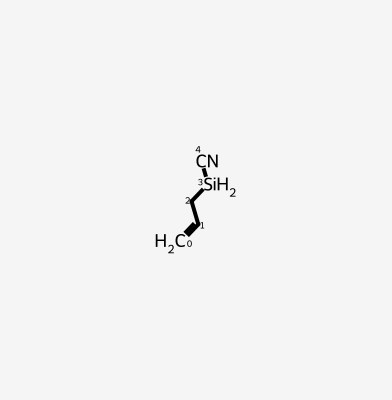 C=CC[SiH2]C#N